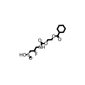 O=C(NC[C@@H](F)CS(=O)O)OCCOC(=O)C1CCCCC1